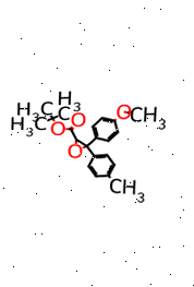 COc1ccc(C2(c3ccc(C)cc3)OC2C(=O)OC(C)(C)C)cc1